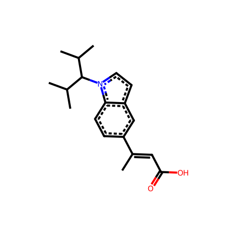 CC(=CC(=O)O)c1ccc2c(ccn2C(C(C)C)C(C)C)c1